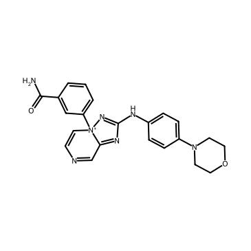 NC(=O)c1cccc([N+]23C=CN=CC2=NC(Nc2ccc(N4CCOCC4)cc2)=N3)c1